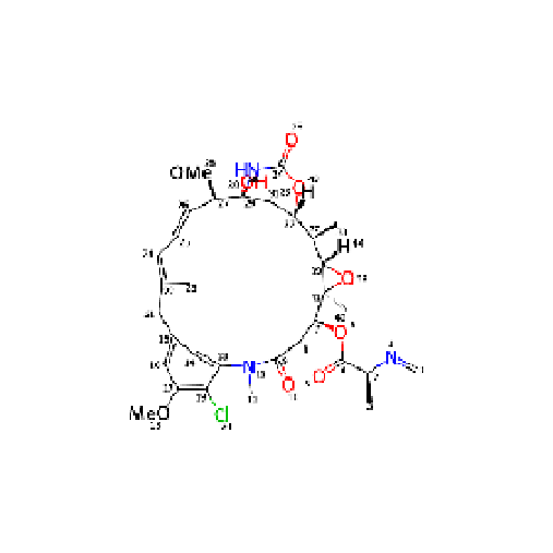 C=N[C@@H](C)C(=O)O[C@H]1CC(=O)N(C)c2cc(cc(OC)c2Cl)C/C(C)=C/C=C/[C@@H](OC)[C@@]2(O)C[C@H](OC(=O)N2)[C@@H](C)[C@@H]2O[C@@]12C